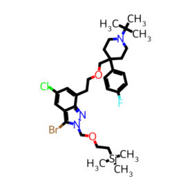 CC(C)(C)N1CCC(COCCc2cc(Cl)cc3c(Br)n(COCC[Si](C)(C)C)nc23)(c2ccc(F)cc2)CC1